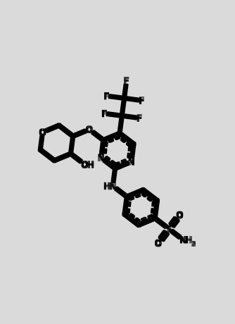 NS(=O)(=O)c1ccc(Nc2ncc(C(F)(F)C(F)(F)F)c(OC3COCCC3O)n2)cc1